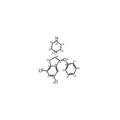 Clc1cc(Cl)c2c(c1)[C@H](Oc1ccccc1)[C@@H](N1CCNCC1)C2